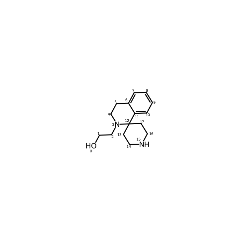 OCCN1CCc2ccccc2C12CCNCC2